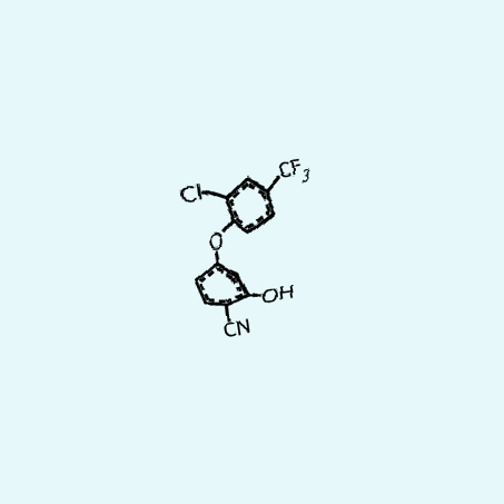 N#Cc1ccc(Oc2ccc(C(F)(F)F)cc2Cl)cc1O